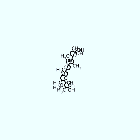 CC[C@@]1([C@@H]2OC(C3O[C@@](O)(CO)[C@H](C)C[C@@H]3C)C[C@@H]2C)CCC([C@]2(C)CC[C@]3(CC[C@@H](C)C([C@@H](C)[C@@H](OC)[C@H](C)C(=O)O)O3)O2)O1